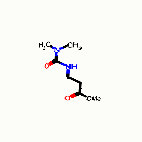 COC(=O)CCNC(=O)N(C)C